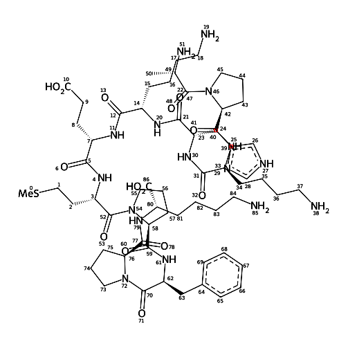 CSCC[C@H](NC(=O)[C@H](CCC(=O)O)NC(=O)[C@H](CCCCN)NC(=O)[C@H](Cc1c[nH]cn1)NC(=O)[C@H](CCCCN)NC(=O)[C@@H]1CCCN1C(=O)[C@H](C)N)C(=O)N1CCC[C@H]1C(=O)N[C@@H](Cc1ccccc1)C(=O)N1CCC[C@H]1C(=O)N[C@@H](CCCCN)C(=O)O